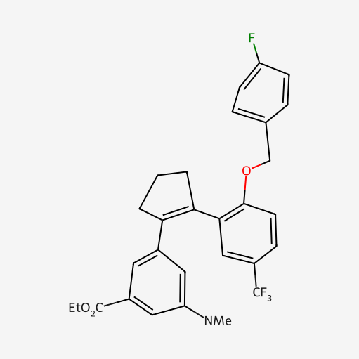 CCOC(=O)c1cc(NC)cc(C2=C(c3cc(C(F)(F)F)ccc3OCc3ccc(F)cc3)CCC2)c1